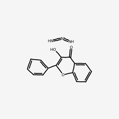 N=[N+]=N.O=c1c(O)c(-c2ccccc2)oc2ccccc12